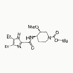 CCc1nc(C(=O)N[C@@H]2CCN(C(=O)OC(C)(C)C)C[C@@H]2OC)[nH]c1CC